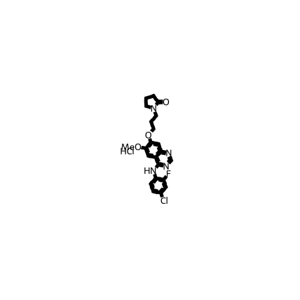 COc1cc2c(Nc3ccc(Cl)cc3F)ncnc2cc1OCCCN1CCCC1=O.Cl